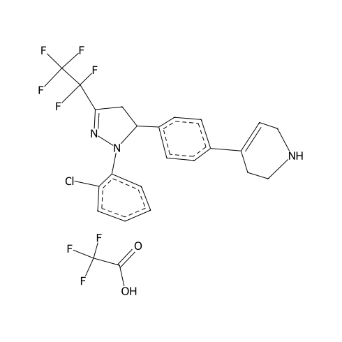 FC(F)(F)C(F)(F)C1=NN(c2ccccc2Cl)C(c2ccc(C3=CCNCC3)cc2)C1.O=C(O)C(F)(F)F